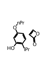 CCCOc1ccc(C(C)C)c(O)c1.O=C1C=CO1